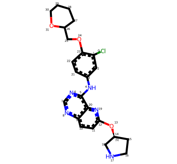 Clc1cc(Nc2ncnc3ccc(O[C@H]4CCNC4)nc23)ccc1OCC1CCCCO1